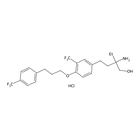 CCC(N)(CO)CCc1ccc(OCCCc2ccc(C(F)(F)F)cc2)c(C(F)(F)F)c1.Cl